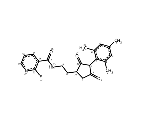 Cc1cc(C)c(C2C(=O)CC(CCNC(=O)c3cccnc3F)C2=O)c(C)c1